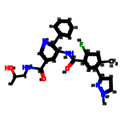 CC(O)CNC(=O)c1cnc(-c2ccccc2)c(NC(=O)c2cc(-c3ccn(C)n3)c(C(F)(F)F)cc2F)c1